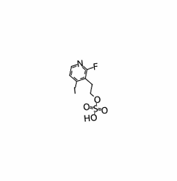 O=S(=O)(O)OCCc1c(I)ccnc1F